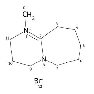 C[N+]1=C2CCCCCN2CCC1.[Br-]